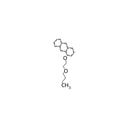 CCCCOCCOc1cccc2cc3ccccc3cc12